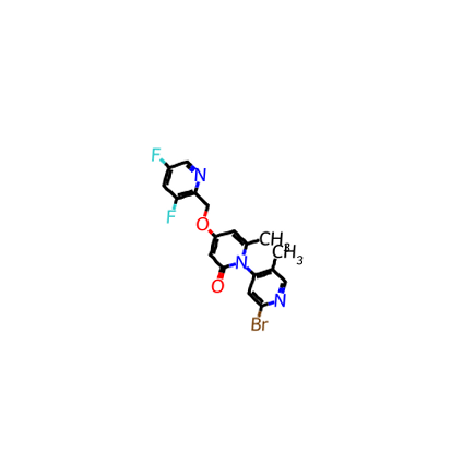 Cc1cnc(Br)cc1-n1c(C)cc(OCc2ncc(F)cc2F)cc1=O